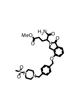 COC(=O)CCC(C(N)=O)N1Cc2c(OCc3ccc(CN4CCN(S(C)(=O)=O)CC4)cc3)cccc2C1=O